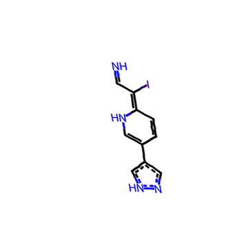 N=C/C(I)=C1/C=CC(c2cn[nH]c2)=CN1